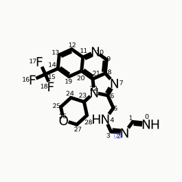 N=C/N=C\NCc1nc2cnc3ccc(C(F)(F)F)cc3c2n1C1CCOCC1